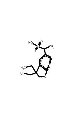 CCC1(CC)COc2ccc(C(C)S(=O)(=O)O)cc21